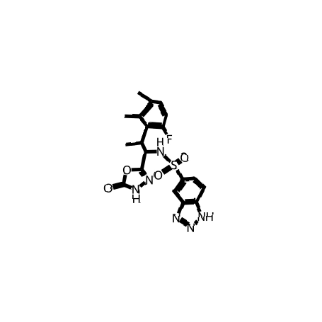 Cc1ccc(F)c(C(C)C(NS(=O)(=O)c2ccc3[nH]nnc3c2)c2n[nH]c(=O)o2)c1C